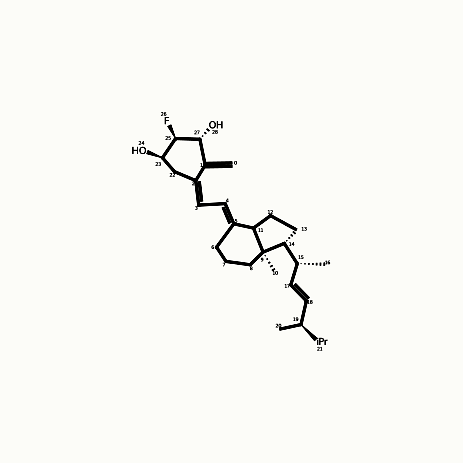 C=C1C(=CC=C2CCC[C@@]3(C)C2CC[C@@H]3[C@H](C)/C=C/[C@H](C)C(C)C)C[C@@H](O)[C@@H](F)[C@@H]1O